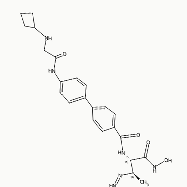 C[C@@H](N=N)[C@H](NC(=O)c1ccc(-c2ccc(NC(=O)CNC3CCC3)cc2)cc1)C(=O)NO